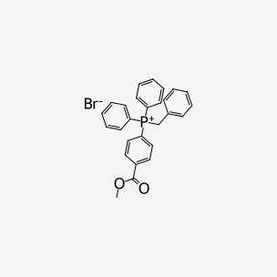 COC(=O)c1ccc([P+](Cc2ccccc2)(c2ccccc2)c2ccccc2)cc1.[Br-]